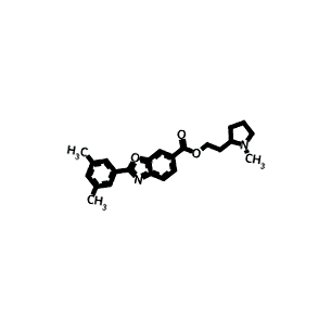 Cc1cc(C)cc(-c2nc3ccc(C(=O)OCCC4CCCN4C)cc3o2)c1